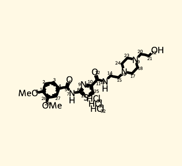 COc1ccc(C(=O)Nc2nc(C(=O)NCCN3CCN(CCO)CC3)cs2)cc1OC.Cl.Cl.Cl